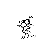 CC[C@H]1[C@@H](O)C2C3CC[C@H]([C@H](C)C[C@@H](F)C(=O)O)[C@@]3(C)CCC2[C@@]2(C)CC[C@@H](O)C[C@@H]12